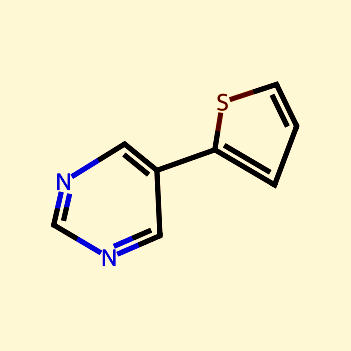 c1csc(-c2cncnc2)c1